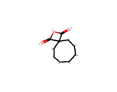 O=C1OC(=O)C12CCCCCCC2